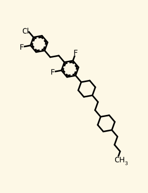 CCCCC1CCC(CCC2CCC(c3cc(F)c(CCc4ccc(Cl)c(F)c4)c(F)c3)CC2)CC1